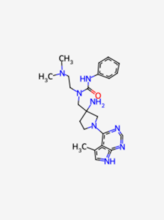 Cc1c[nH]c2ncnc(N3CCC(N)(CN(CCN(C)C)C(=O)Nc4ccccc4)C3)c12